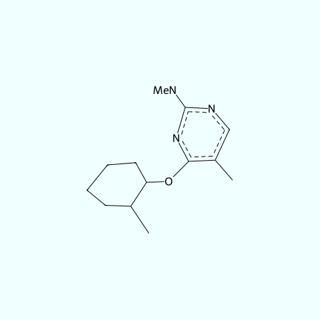 CNc1ncc(C)c(OC2CCCCC2C)n1